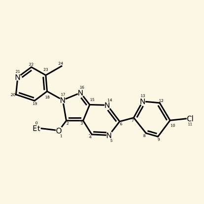 CCOc1c2[c]nc(-c3ccc(Cl)cn3)nc2nn1-c1ccncc1C